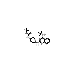 CC(C)(C)Nc1nc(NC2CCC(NC(=O)OC(C)(C)C)CC2)nc2ccccc12